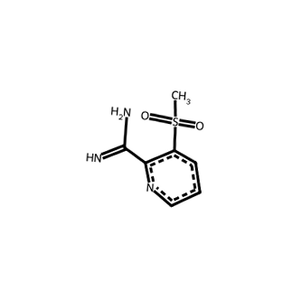 CS(=O)(=O)c1cccnc1C(=N)N